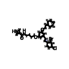 O=C(NCCCCOc1cc(/C=C/c2ccc(Cl)cc2Br)cc(OCCc2ccncc2)c1)C1CNC1